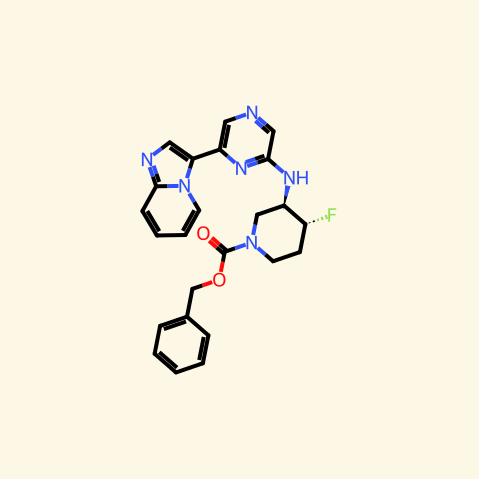 O=C(OCc1ccccc1)N1CC[C@@H](F)[C@H](Nc2cncc(-c3cnc4ccccn34)n2)C1